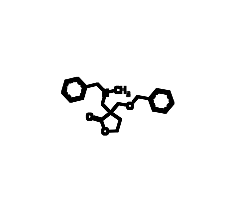 CN(Cc1ccccc1)CC1(COCc2ccccc2)CCOC1=O